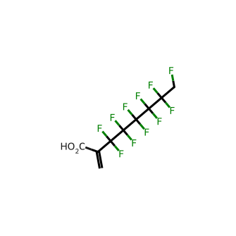 C=C(C(=O)O)C(F)(F)C(F)(F)C(F)(F)C(F)(F)C(F)(F)CF